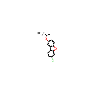 CC(Oc1ccc2oc3cc(Cl)ccc3c2c1)C(=O)O